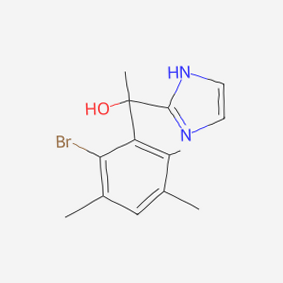 Cc1cc(C)c(Br)c(C(C)(O)c2ncc[nH]2)c1C